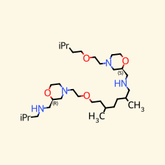 CC(C)CCOCCN1CCO[C@@H](CNCC(C)CCC(C)CCOCCN2CCO[C@H](CNCC(C)C)C2)C1